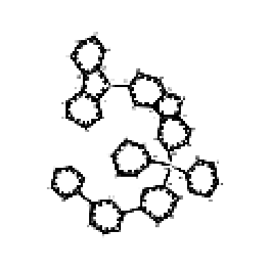 c1ccc(-c2cccc(-c3cccc([Si](c4ccccc4)(c4ccccc4)c4ccc5oc6ccc(-n7c8ccccc8c8ccccc87)cc6c5c4)c3)c2)cc1